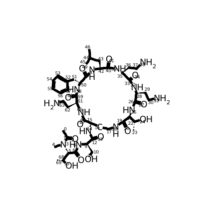 CC(=O)N(C)[C@H](C(=O)N[C@H](CO)C(=O)N[C@H]1CCNC(=O)[C@H]([C@@H](C)O)NC(=O)[C@H](CCN)NC(=O)[C@H](CCN)NC(=O)[C@H](CC(C)C)NC(=O)[C@@H](Cc2ccccc2)NC(=O)[C@H](CCN)NC1=O)[C@@H](C)O